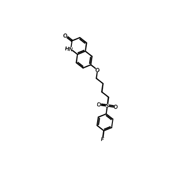 O=c1ccc2cc(OCCCCS(=O)(=O)c3ccc(F)cc3)ccc2[nH]1